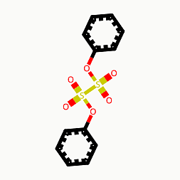 O=S(=O)(Oc1ccccc1)S(=O)(=O)Oc1ccccc1